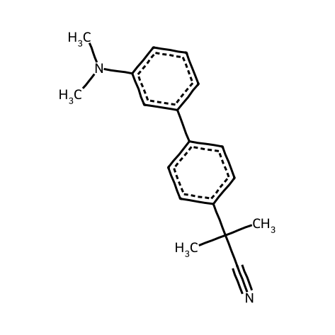 CN(C)c1cccc(-c2ccc(C(C)(C)C#N)cc2)c1